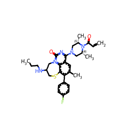 C=CC(=O)N1[C@H](C)CN(c2nc(=O)n3c4c(c(-c5ccc(F)cc5)c(C)cc24)SCC(NCCC)C3)C[C@@H]1C